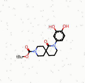 CC(C)(C)OC(=O)N1CCC2(CCCN(c3ccc(O)c(O)c3)C2=O)CC1